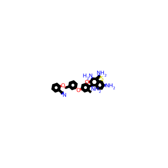 Cc1cc(Oc2cccc(COc3ccccc3C#N)c2)ccc1C1(N)C(=O)C(N)c2c(N)sc3c(N)ccc1c23